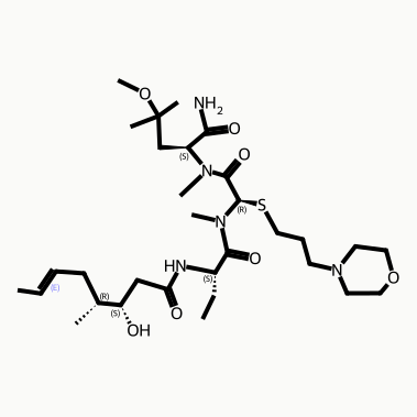 C/C=C/C[C@@H](C)[C@@H](O)CC(=O)N[C@@H](CC)C(=O)N(C)[C@H](SCCCN1CCOCC1)C(=O)N(C)[C@@H](CC(C)(C)OC)C(N)=O